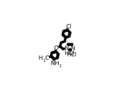 Cc1cc(OC(CCc2ccc(Cl)cc2)Cn2ccnc2)ccc1N.Cl.Cl